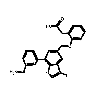 NCc1cccc(-c2cc(COc3ccccc3CC(=O)O)cc3c(F)coc23)c1